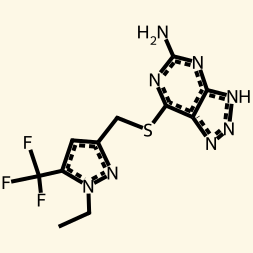 CCn1nc(CSc2nc(N)nc3[nH]nnc23)cc1C(F)(F)F